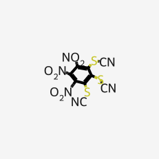 N#CSc1c(SC#N)c([N+](=O)[O-])c([N+](=O)[O-])c([N+](=O)[O-])c1SC#N